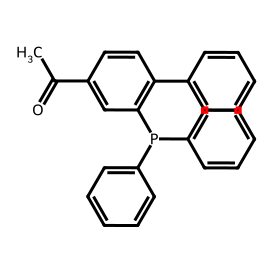 CC(=O)c1ccc(-c2ccccc2)c(P(c2ccccc2)c2ccccc2)c1